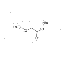 CCCCOC(CC)COC(=O)OCC